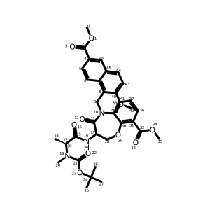 COC(=O)c1ccc2c(CN3C(=O)C(NC(=O)[C@H](C)N(C)C(=O)OC(C)(C)C)COc4c(C(=O)OC)cccc43)c(OC)ccc2c1